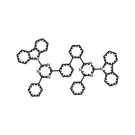 c1ccc(-c2nc(-c3cccc(-c4ccccc4-c4nc(-c5ccccc5)nc(-n5c6ccccc6c6ccccc65)n4)c3)nc(-n3c4ccccc4c4ccccc43)n2)cc1